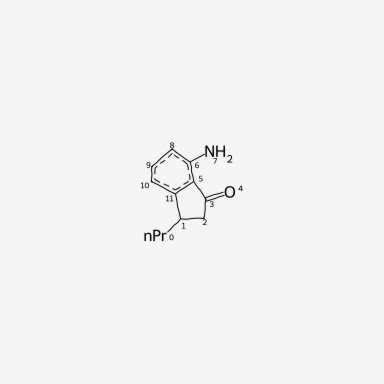 CCCC1CC(=O)c2c(N)cccc21